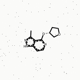 Cc1n[nH]c2ccnc(O[C@@H]3CCOC3)c12